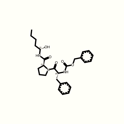 CCCC[C@H](O)NC(=O)[C@@H]1CCCN1C(=O)[C@@H](Cc1ccccc1)NC(=O)OCc1ccccc1